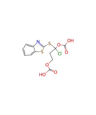 O=C(O)OCCC(Cl)(OC(=O)O)Sc1nc2ccccc2s1